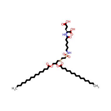 CCCCCCCCCCCCCCCC(=O)OCC(CSCCS(=O)(=O)NCCCCCC(=O)N[C@@H](CCC(=O)O)C(=O)O)OC(=O)CCCCCCCCCCCCCCC